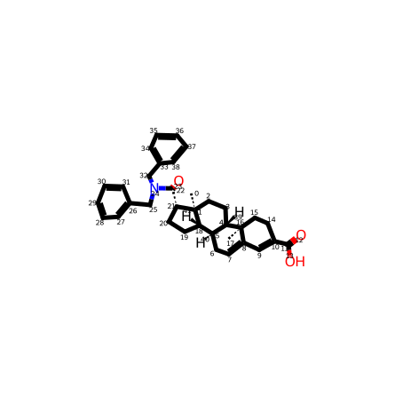 C[C@]12CC[C@H]3[C@@H](CC=C4C=C(C(=O)O)CC[C@@]43C)[C@@H]1CC[C@@H]2C(=O)N(Cc1ccccc1)Cc1ccccc1